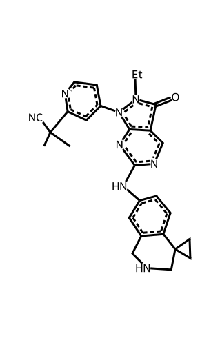 CCn1c(=O)c2cnc(Nc3ccc4c(c3)CNCC43CC3)nc2n1-c1ccnc(C(C)(C)C#N)c1